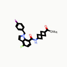 COC(=O)C1CC2(CC(NC(=O)c3ccc(F)c4ccn(Cc5ccc(I)cc5)c34)C2)C1